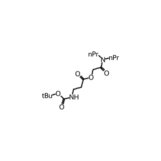 CCCN(CCC)C(=O)COC(=O)CCNC(=O)OC(C)(C)C